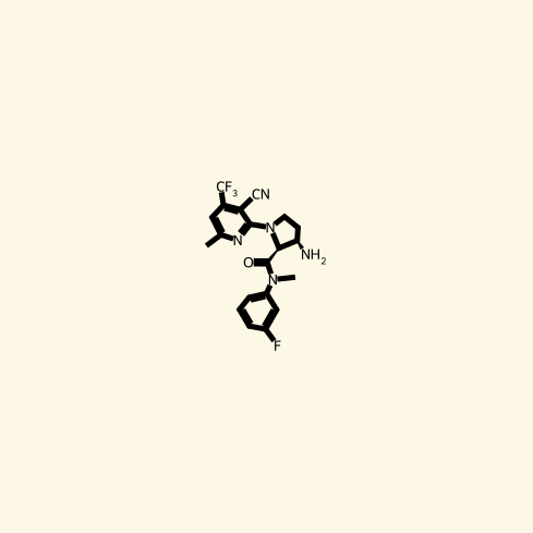 Cc1cc(C(F)(F)F)c(C#N)c(N2CC[C@@H](N)[C@H]2C(=O)N(C)c2cccc(F)c2)n1